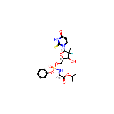 CC(C)OC(=O)[C@H](C)NP(=O)(OC[C@H]1O[C@@H](n2ccc(=O)[nH]c2=S)C(C)(F)C1O)Oc1ccccc1